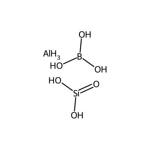 O=[Si](O)O.OB(O)O.[AlH3]